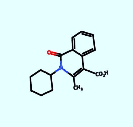 Cc1c(C(=O)O)c2ccccc2c(=O)n1C1CCCCC1